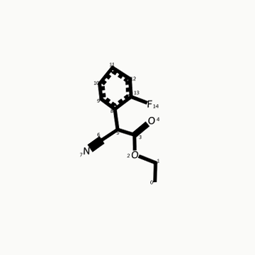 CCOC(=O)C(C#N)c1ccccc1F